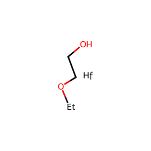 CCOCCO.[Hf]